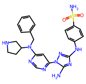 Nc1nc(Nc2ccc(S(N)(=O)=O)cc2)nn1-c1cc(N(Cc2ccccc2)C2CCNC2)ncn1